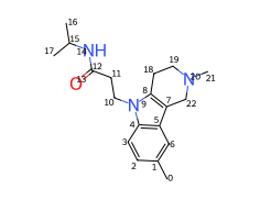 Cc1ccc2c(c1)c1c(n2CCC(=O)NC(C)C)CCN(C)C1